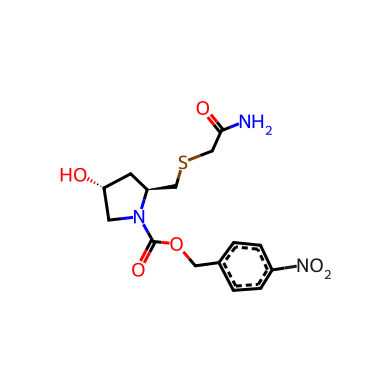 NC(=O)CSC[C@@H]1C[C@@H](O)CN1C(=O)OCc1ccc([N+](=O)[O-])cc1